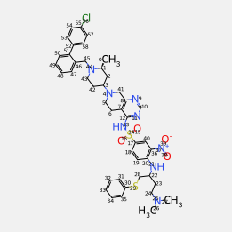 C[C@H]1CC(N2CCc3c(ncnc3NS(=O)(=O)c3ccc(NC(CCN(C)C)CSc4ccccc4)c([N+](=O)[O-])c3)C2)CCN1Cc1ccccc1-c1ccc(Cl)cc1